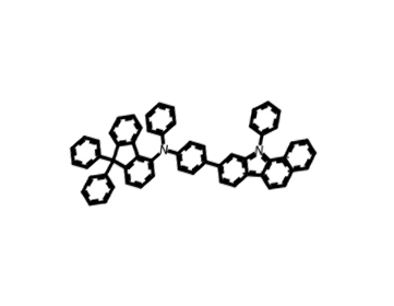 c1ccc(N(c2ccc(-c3ccc4c5ccc6ccccc6c5n(-c5ccccc5)c4c3)cc2)c2cccc3c2-c2ccccc2C3(c2ccccc2)c2ccccc2)cc1